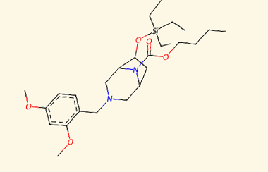 CCCCOC(=O)N1C2CC(O[Si](CC)(CC)CC)C1CN(Cc1ccc(OC)cc1OC)C2